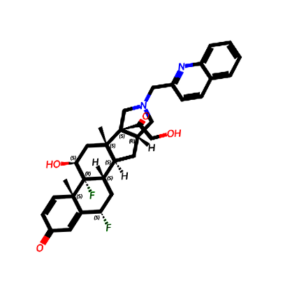 C[C@]12C=CC(=O)C=C1[C@@H](F)C[C@H]1[C@@H]3C[C@H]4CN(Cc5ccc6ccccc6n5)C[C@@]4(C(=O)CO)[C@@]3(C)C[C@H](O)[C@@]12F